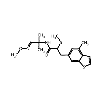 CON=CC(C)(C)NC(=O)C(Cc1cc(C)c2ccsc2c1)SC